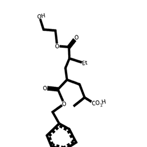 CCC(CC(CC(C)C(=O)O)C(=O)OCc1ccccc1)C(=O)OCCO